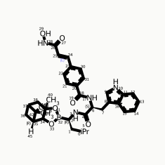 CC(C)C[C@H](NC(=O)[C@H](Cc1c[nH]c2ccccc12)NC(=O)c1ccc(/C=C/C(=O)NO)cc1)B1OC2[C@@H]3CC(C[C@]2(C)O1)C3(C)C